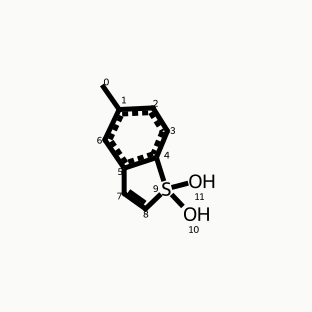 Cc1ccc2c(c1)C=CS2(O)O